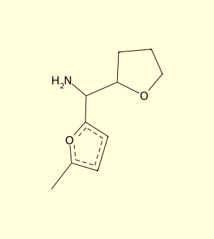 Cc1ccc(C(N)C2CCCO2)o1